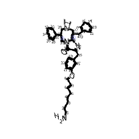 NCCCCCCCCOc1cccc(CC2=N/C3=C(\Cc4ccccc4)CNC/C(c4ccccc4)=C\N3C2=O)c1